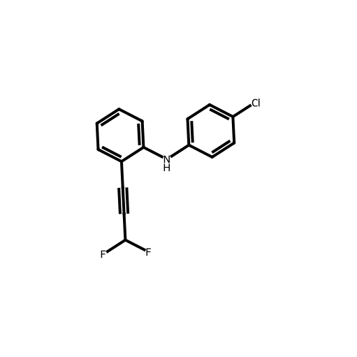 FC(F)C#Cc1ccccc1Nc1ccc(Cl)cc1